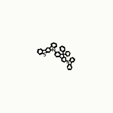 c1ccc(C2(c3ccccc3)c3cc(-n4c5ccccc5c5ccccc54)ccc3-c3ccc(-n4c5ccccc5c5cc6c(cc54)sc4ccccc46)cc32)cc1